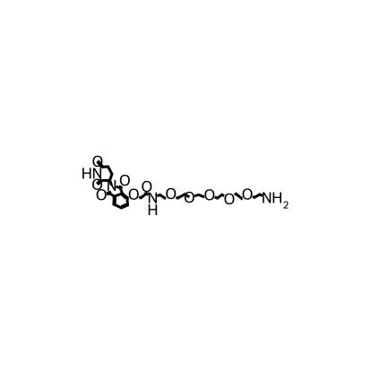 NCCOCCOCCOCCOCCOCCNC(=O)COc1cccc2c1C(=O)N(C1CCC(=O)NC1=O)C2=O